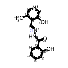 Cc1cncc(O)c1/C=N/NC(=O)c1ccccc1O